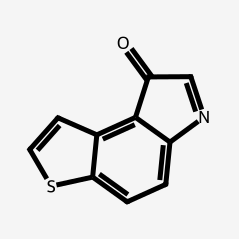 O=C1C=Nc2ccc3sccc3c21